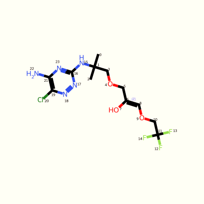 CC(C)(COC/C(O)=C/OCC(F)(F)F)Nc1nnc(Cl)c(N)n1